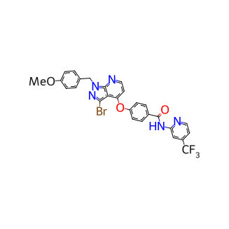 COc1ccc(Cn2nc(Br)c3c(Oc4ccc(C(=O)Nc5cc(C(F)(F)F)ccn5)cc4)ccnc32)cc1